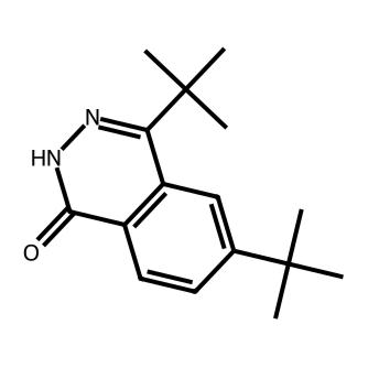 CC(C)(C)c1ccc2c(=O)[nH]nc(C(C)(C)C)c2c1